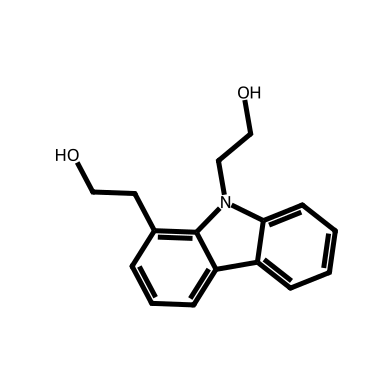 OCCc1cccc2c3ccccc3n(CCO)c12